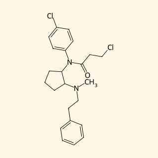 CN(CCc1ccccc1)C1CCCC1N(C(=O)CCCl)c1ccc(Cl)cc1